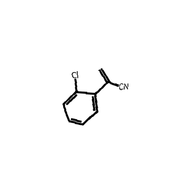 C=C(C#N)c1ccccc1Cl